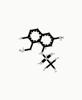 CCc1c(F)ccc2cc(O)cc(OS(=O)(=O)C(F)(F)F)c12